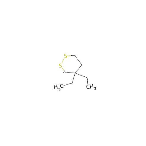 CCC1(CC)[CH]SSCC1